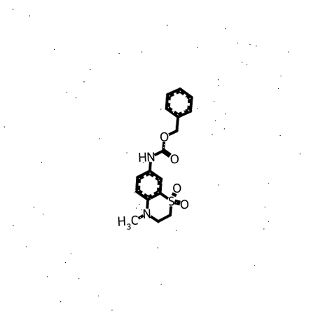 CN1CCS(=O)(=O)c2cc(NC(=O)OCc3ccccc3)ccc21